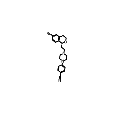 N#Cc1ccc(N2CCN(CC[C@@H]3OCCc4cc(Br)ccc43)CC2)cc1